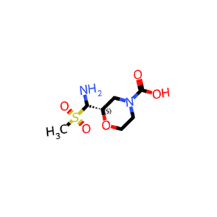 CS(=O)(=O)C(N)[C@@H]1CN(C(=O)O)CCO1